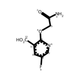 NC(=O)COc1ncc(F)cc1C(=O)O